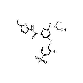 CC[C@@H](CO)Oc1cc(Oc2ccc(S(C)(=O)=O)cc2F)cc(C(=O)Nc2ccn(CC)n2)c1